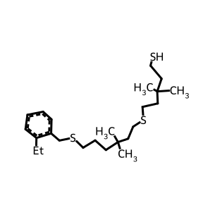 CCc1ccccc1CSCCCC(C)(C)CCSCCC(C)(C)CCS